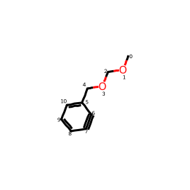 COCOCc1c#cccc1